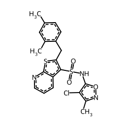 Cc1ccc(Cc2sc3ncccc3c2S(=O)(=O)Nc2onc(C)c2Cl)c(C)c1